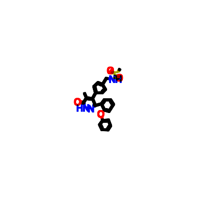 Cc1c(-c2ccc(CNS(C)(=O)=O)cc2)c(-c2ccccc2Oc2ccccc2)n[nH]c1=O